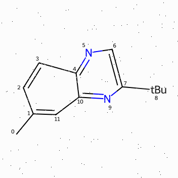 Cc1ccc2ncc(C(C)(C)C)nc2c1